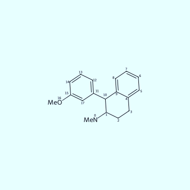 CNC1CCc2ccccc2C1c1cccc(OC)c1